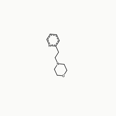 [c]1ccc(CCN2CCOCC2)nc1